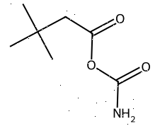 CC(C)(C)CC(=O)OC(N)=O